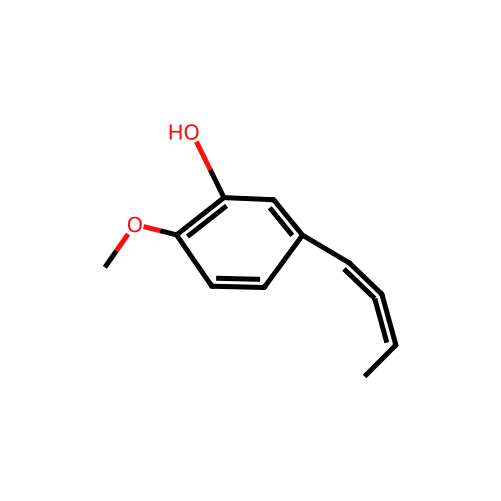 CC=C=Cc1ccc(OC)c(O)c1